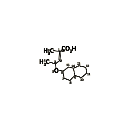 CC(=CC(C)OC1CCC2CCCCC2C1)C(=O)O